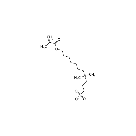 C=C(C)C(=O)OCCCCCCC[N+](C)(C)CCCS(=O)(=O)[O-]